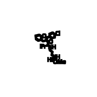 COBNCCCNC(c1oc2cc(Cl)ccc2c(=O)c1Cc1ccccc1)C(C)C